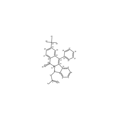 CC(=O)CC1c2ccccc2-c2c(-c3ccccc3)c3cc(C(C)(C)C)ccc3c(=O)n21